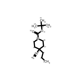 [C-]#[N+]C1(CCC)CCN(C(=O)OC(C)(C)C)CC1